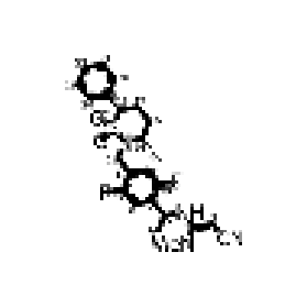 CN/C(=C\C#N)NC(C)c1cc(F)c(CN2[C@@H](C)CC[C@H](c3ccccc3)S2(=O)=O)cc1F